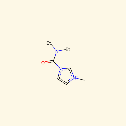 CCN(CC)C(=O)n1cc[n+](C)c1